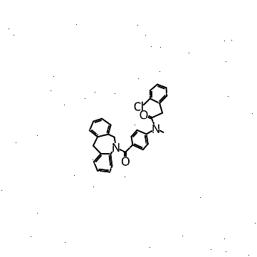 CN(C(=O)Cc1ccccc1Cl)c1ccc(C(=O)N2Cc3ccccc3Cc3ccccc32)cc1